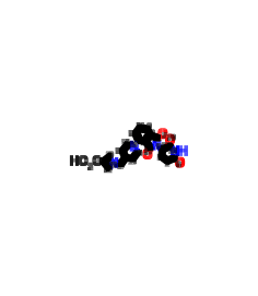 O=C1CCC(N2C(=O)c3cccc(N4CCC(CN5CC(C(=O)O)C5)CC4)c3C2=O)C(=O)N1